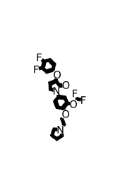 O=C1C(Oc2ccc(F)c(F)c2)=CCN1c1ccc(OCCN2CCCC2)c(OC(F)F)c1